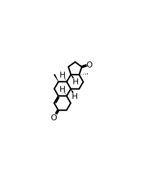 C[C@@H]1CC2=CC(=O)CC[C@@H]2[C@H]2CC[C@]3(C)C(=O)CC[C@H]3[C@@H]21